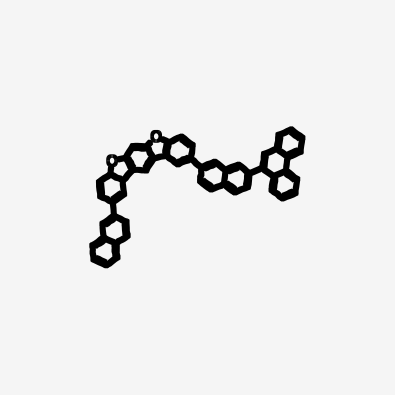 C1=CC2Oc3cc4oc5ccc(-c6ccc7ccc(-c8cc9ccccc9c9ccccc89)cc7c6)cc5c4cc3C2C=C1c1ccc2ccccc2c1